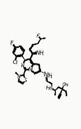 C#CC(O)(CC)CC(C)NCCN[C@H]1CC2=C(C(=N)/C=C\CC(C)F)[C@H](c3ccc(F)cc3Cl)N=C(C3SC=CN3C)N2C1